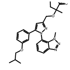 CCC(C)(OCc1cc(-c2cccc(OCC(C)C)c2)n(-c2cccc3nnn(C)c23)n1)C(=O)O